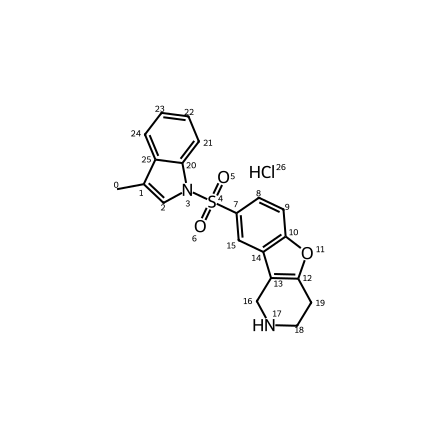 Cc1cn(S(=O)(=O)c2ccc3oc4c(c3c2)CNCC4)c2ccccc12.Cl